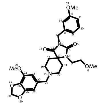 COCCN1C(=O)N(Cc2cccc(OC)c2)C(=O)C12CCN(Cc1cc(OC)c3c(c1)OCO3)CC2